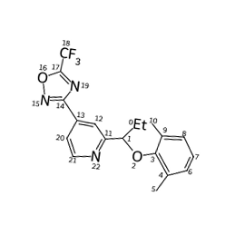 CCC(Oc1c(C)cccc1C)c1cc(-c2noc(C(F)(F)F)n2)ccn1